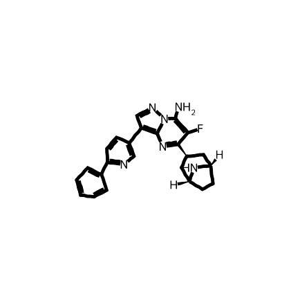 Nc1c(F)c([C@@H]2C[C@H]3CC[C@@H](C2)N3)nc2c(-c3ccc(-c4ccccc4)nc3)cnn12